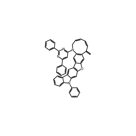 C=C1/C=C\C=C/CN(c2cc(-c3ccccc3)nc(-c3ccccc3)n2)c2cc3c(cc21)oc1cc2c(cc13)c1ccccc1n2-c1ccccc1